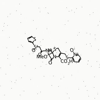 CO[C@@]1(NC(=O)C[S+]([O-])c2cccs2)C(=O)N2C(C(=O)O)=C(CSc3cccc[n+]3[O-])CS[C@H]21